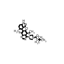 COc1c(Cl)c(-c2c(C)ccc3[nH]ncc23)c(F)c2ncnc(N3CCN(C(=O)OC(C)(C)C)CC3)c12